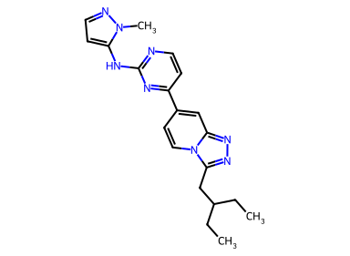 CCC(CC)Cc1nnc2cc(-c3ccnc(Nc4ccnn4C)n3)ccn12